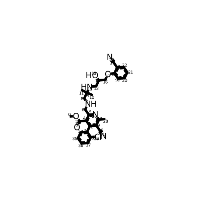 COC(=O)c1c(CNCC(C)(C)NCC(O)COc2ccccc2C#N)nc(C)c(C#N)c1-c1ccccc1Cl